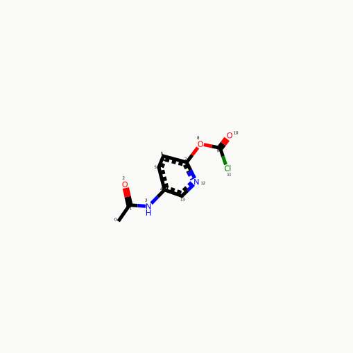 CC(=O)Nc1ccc(OC(=O)Cl)nc1